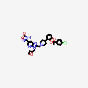 CC1(c2ccc(Cl)cc2)Oc2cccc(C3CCN(Cc4nc5cc(-c6noc(=O)[nH]6)cnc5n4CC4CCO4)CC3)c2O1